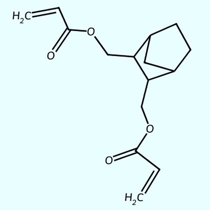 C=CC(=O)OCC1C2CCC(C2)C1COC(=O)C=C